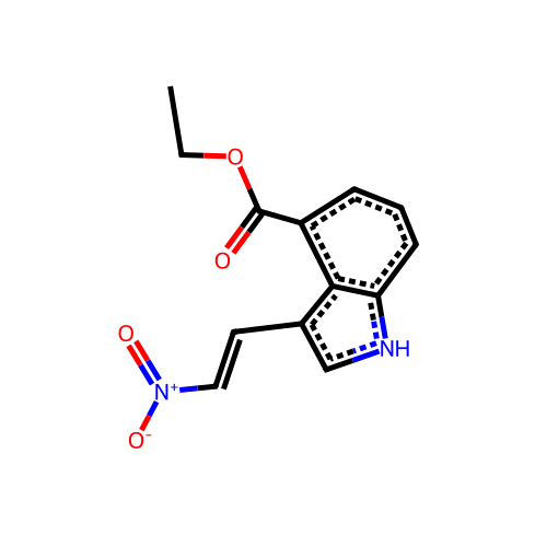 CCOC(=O)c1cccc2[nH]cc(C=C[N+](=O)[O-])c12